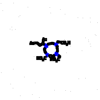 CC(=O)CCC(C(C)=O)N1CCN(CC(=O)O)CCN(CC(=O)O)CCN(C(=O)O)CC1